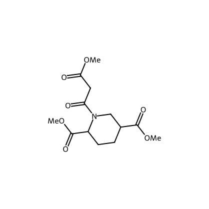 COC(=O)CC(=O)N1CC(C(=O)OC)CCC1C(=O)OC